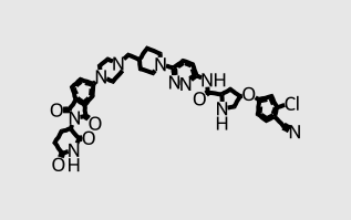 N#Cc1ccc(OC2CNC(C(=O)Nc3ccc(N4CCC(CN5CCN(c6ccc7c(c6)C(=O)N(C6CCC(=O)NC6=O)C7=O)CC5)CC4)nn3)C2)cc1Cl